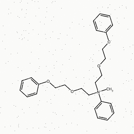 C[N+](CCOCCOc1ccccc1)(CCOCCOc1ccccc1)c1ccccc1